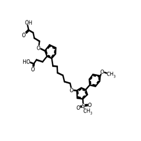 COc1ccc(-c2cc(OCCCCCCc3cccc(OCCCC(=O)O)c3CCC(=O)O)cc(S(C)(=O)=O)c2)cc1